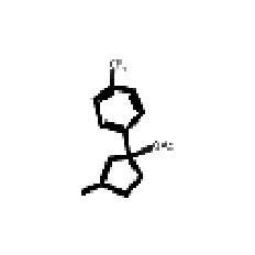 CC(=O)OC1(c2ccc(C(F)(F)F)cc2)CCC(C)C1